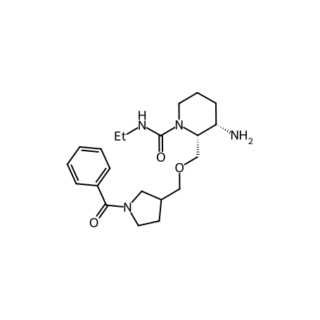 CCNC(=O)N1CCC[C@H](N)[C@@H]1COCC1CCN(C(=O)c2ccccc2)C1